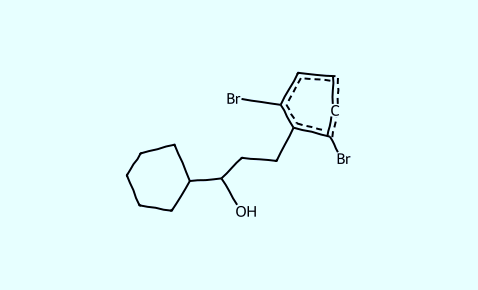 OC(CCc1c(Br)cccc1Br)C1CCCCC1